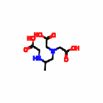 CC(CN(CC(=O)O)CC(=O)O)NCC(=O)O